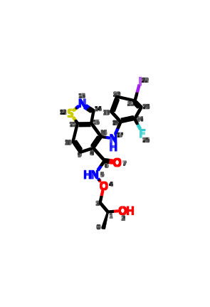 C[C@H](O)CONC(=O)c1ccc2sncc2c1Nc1ccc(I)cc1F